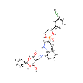 CC1(C)OC(=O)C(=CNc2cccc3cc(P4(=O)OCC[C@@H](c5cccc(Cl)c5)O4)cnc23)C(=O)O1